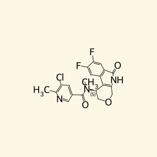 Cc1ncc(C(=O)N(C)[C@@H]2COCc3[nH]c(=O)c4cc(F)c(F)cc4c32)cc1Cl